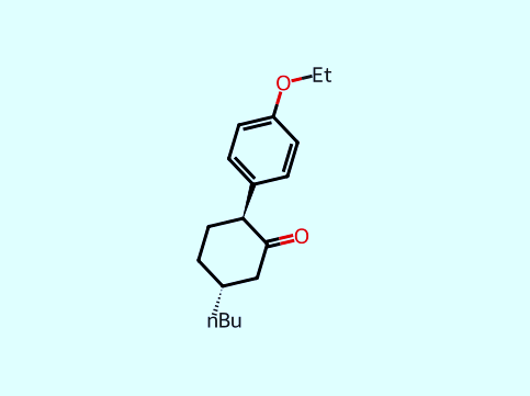 CCCC[C@@H]1CC[C@@H](c2ccc(OCC)cc2)C(=O)C1